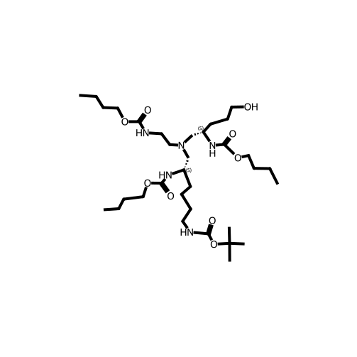 CCCCOC(=O)NCCN(C[C@H](CCCO)NC(=O)OCCCC)C[C@H](CCCCNC(=O)OC(C)(C)C)NC(=O)OCCCC